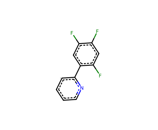 Fc1cc(F)c(-c2[c]cccn2)cc1F